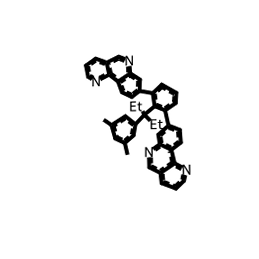 CCC(CC)(c1cc(C)cc(C)c1)c1c(-c2ccc3c(c2)ncc2cccnc23)cccc1-c1ccc2c(c1)ncc1cccnc12